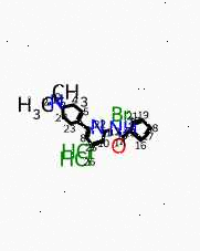 CN(C)C1CC=C(c2cccc(NC(=O)c3ccccc3Br)n2)CC1.Cl.Cl